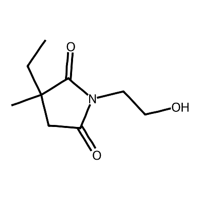 CCC1(C)CC(=O)N(CCO)C1=O